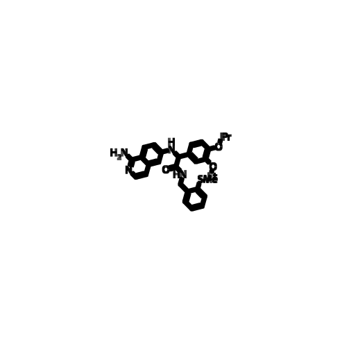 CCOc1cc(C(Nc2ccc3c(N)nccc3c2)C(=O)NCc2ccccc2SC)ccc1OC(C)C